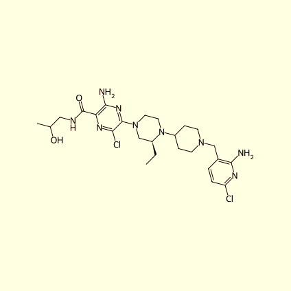 CC[C@H]1CN(c2nc(N)c(C(=O)NCC(C)O)nc2Cl)CCN1C1CCN(Cc2ccc(Cl)nc2N)CC1